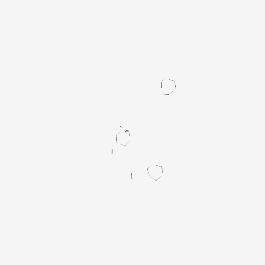 O=C(O)c1cnccc1CSC(C(=O)O)c1ccccc1CCCCCCCCc1ccccc1